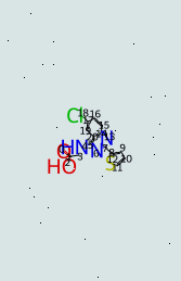 O=C(O)CNc1nc(-c2cccs2)nc2ccc(Cl)cc12